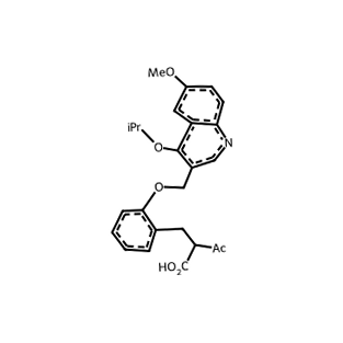 COc1ccc2ncc(COc3ccccc3CC(C(C)=O)C(=O)O)c(OC(C)C)c2c1